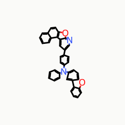 c1ccc(N(c2ccc(-c3cnc4oc5ccc6ccccc6c5c4c3)cc2)c2ccc3oc4ccccc4c3c2)cc1